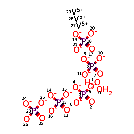 O.O.O=P([O-])([O-])[O-].O=P([O-])([O-])[O-].O=P([O-])([O-])[O-].O=P([O-])([O-])[O-].O=P([O-])([O-])[O-].[V+5].[V+5].[V+5]